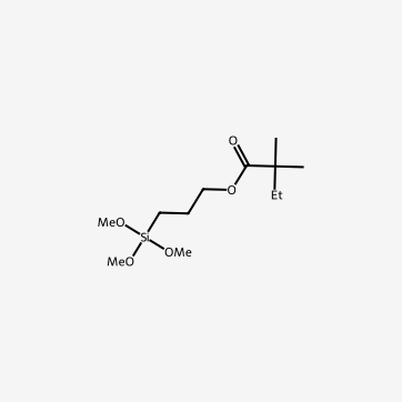 CCC(C)(C)C(=O)OCCC[Si](OC)(OC)OC